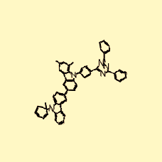 Cc1cc(C)c2c(c1)c1cc(-c3ccc4c(c3)c3ccccc3n4C3(C)C=CC=CC3)ccc1n2-c1ccc(C2=NC(c3ccccc3)N3C(c4ccccc4)N23)cc1